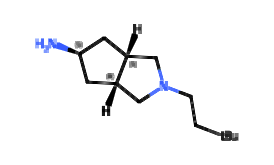 CC(C)(C)CCN1C[C@H]2C[C@H](N)C[C@H]2C1